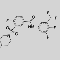 O=C(Nc1cc(F)c(F)c(C(F)F)c1)c1ccc(F)c(S(=O)(=O)N2CCC(O)CC2)c1